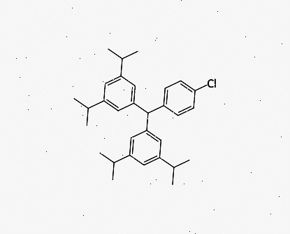 CC(C)c1cc(C(C)C)cc(C(c2ccc(Cl)cc2)c2cc(C(C)C)cc(C(C)C)c2)c1